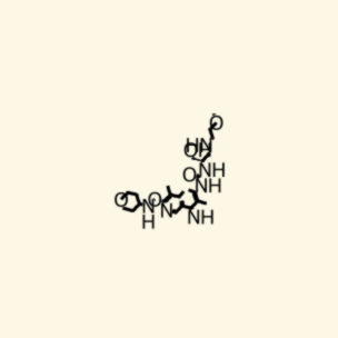 C=C(/C=N\C(ONC1CCOCC1)=C(\C)CC)C(=N)/C(C)=C(\C)NC(=O)N[C@@H](CO)CNCCOC